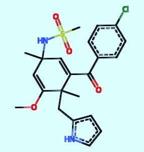 COC1=CC(C)(NS(C)(=O)=O)C=C(C(=O)c2ccc(Cl)cc2)C1(C)Cc1ccc[nH]1